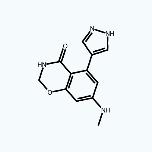 CNc1cc2c(c(-c3cn[nH]c3)c1)C(=O)NCO2